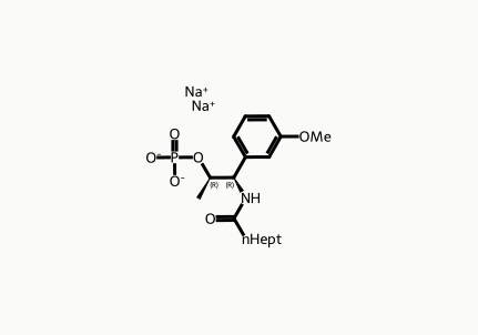 CCCCCCCC(=O)N[C@H](c1cccc(OC)c1)[C@@H](C)OP(=O)([O-])[O-].[Na+].[Na+]